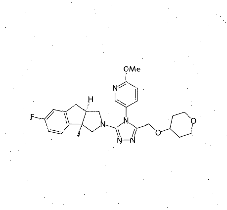 COc1ccc(-n2c(COC3CCOCC3)nnc2N2C[C@@H]3Cc4cc(F)ccc4[C@@]3(C)C2)cn1